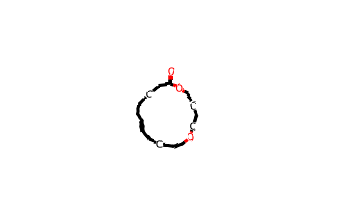 O=C1CCCC/C=C/CCCCOCCCCO1